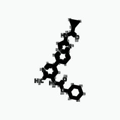 Cc1ncc(-c2ccc3nc(NC(=O)C4CC4)cn3c2)cc1NC(=O)OC1CCCCC1